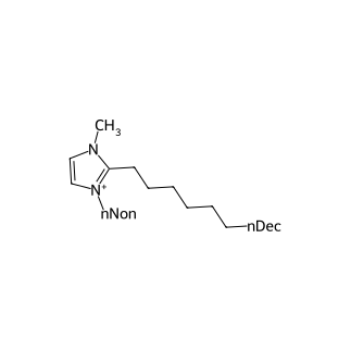 CCCCCCCCCCCCCCCCc1n(C)cc[n+]1CCCCCCCCC